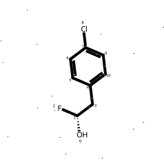 O[C@H](F)Cc1ccc(Cl)cc1